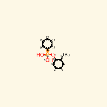 CC(C)(C)c1ccccc1O[PH](O)(O)c1ccccc1